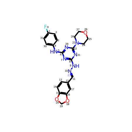 Fc1ccc(Nc2nc(N/N=C/c3ccc4c(c3)OCO4)nc(N3CCOCC3)n2)cc1